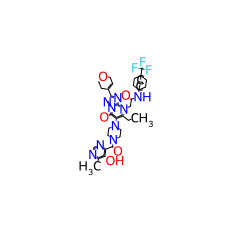 CCc1c(N2CCN(C(=O)c3ncnc(C)c3O)CC2)c(=O)n2nc(C3=CCOCC3)nc2n1CC(=O)NC12CCC(C(F)(F)F)(CC1)CC2